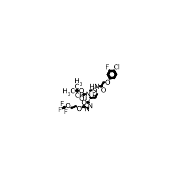 CC(C)(C)OC(=O)N1C[Si@@H](NC(=O)COc2ccc(Cl)c(F)c2)CC[C@@H]1c1nnc(OCCOC(F)(F)F)o1